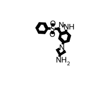 NC1CN(c2ccc3[nH]nc(S(=O)(=O)c4ccccc4)c3c2)C1